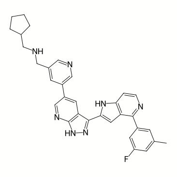 Cc1cc(F)cc(-c2nccc3[nH]c(-c4n[nH]c5ncc(-c6cncc(CNCC7CCCC7)c6)cc45)cc23)c1